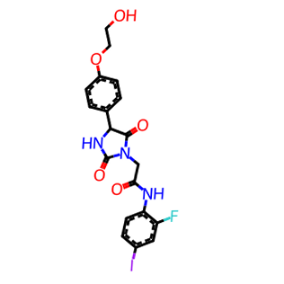 O=C(CN1C(=O)NC(c2ccc(OCCO)cc2)C1=O)Nc1ccc(I)cc1F